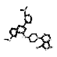 COc1ccc2cc(-c3ccnc(N(C)C)n3)cc(NC3CCN(c4ncnc5[nH]nc(Br)c45)CC3)c2c1